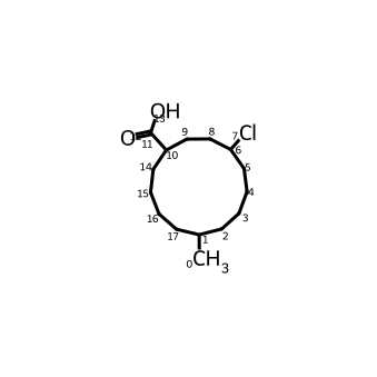 CC1CCCCC(Cl)CCC(C(=O)O)CCCC1